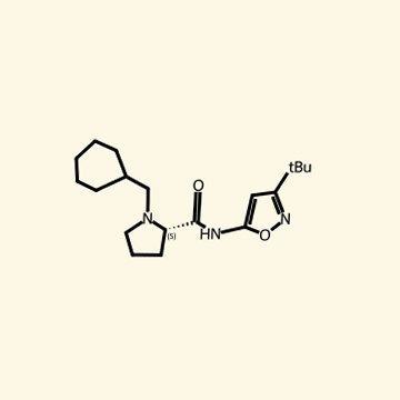 CC(C)(C)c1cc(NC(=O)[C@@H]2CCCN2CC2CCCCC2)on1